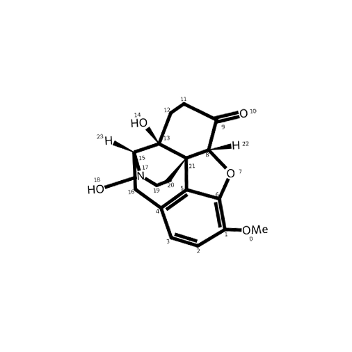 COc1ccc2c3c1O[C@H]1C(=O)CC[C@@]4(O)[C@@H](C2)N(O)CC[C@]314